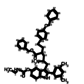 CCNC(=O)Oc1ccc2[nH]c(-c3cc(C)cc(C)c3)c(CC(N)CC(CCc3ccc(OCc4ccccc4)cc3)C(=O)OCc3ccccc3)c2c1